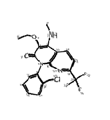 CNc1c(OC)c(=O)n(-c2ccccc2Cl)c2nc(C(F)(F)F)ccc12